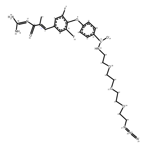 C/C(=C\c1cc(F)c(Oc2ccc([S+]([O-])NCCOCCOCCOCCN=[N+]=[N-])cc2)c(F)c1)C(=O)N=C(N)N